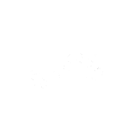 COC(=O)N[C@H](C(=O)N1C[C@]2(CCCOC2)C[C@H]1c1nc2ccc3cc(-c4ccc(-c5cnc([C@@H]6CCCN6C(=O)[C@@H](C)C(C)C)[nH]5)cc4)ccc3c2[nH]1)C(C)C